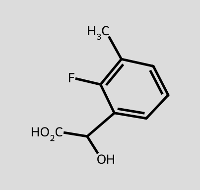 Cc1cccc(C(O)C(=O)O)c1F